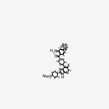 CO[C@H]1CC[C@@H](c2nc3c(C4CCN(C(=O)c5ccc(S(F)(F)(F)(F)F)cc5N)CC4)c(F)cnc3[nH]2)CC1